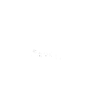 COCc1c(-c2nc(-c3ccc(C(=O)NCCC(=O)O)cc3)no2)cnn1C1CCCCC1